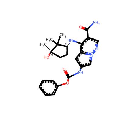 CC1(C)[C@H](Nc2c(C(N)=O)cnn3cc(NC(=O)Oc4ccccc4)cc23)CC[C@@]1(C)O